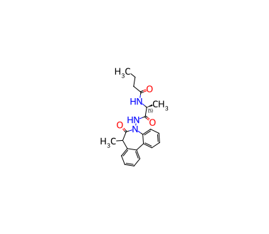 CCCC(=O)N[C@@H](C)C(=O)NN1C(=O)C(C)c2ccccc2-c2ccccc21